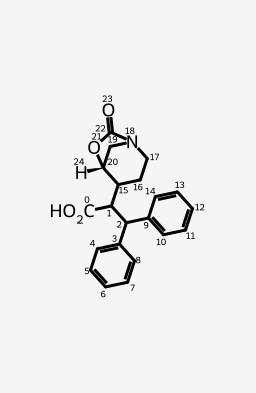 O=C(O)C(C(c1ccccc1)c1ccccc1)C1CCN2C[C@H]1OC2=O